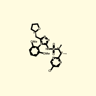 COc1cccc(OC)c1-n1c(C[C@H]2CCCO2)nnc1NS(=O)(=O)[C@@H](C)[C@H](C)c1ncc(Cl)cn1